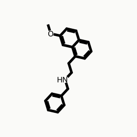 COc1ccc2cccc(CCNCc3ccccc3)c2c1